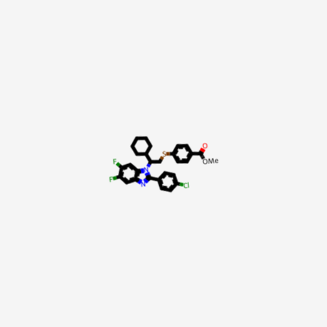 COC(=O)c1ccc(SCC(C2CCCCC2)n2c(-c3ccc(Cl)cc3)nc3cc(F)c(F)cc32)cc1